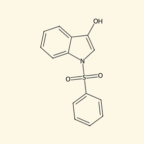 O=S(=O)(c1ccccc1)n1cc(O)c2ccccc21